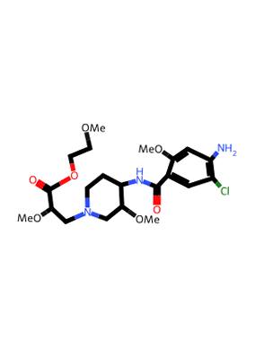 COCCOC(=O)C(CN1CCC(NC(=O)c2cc(Cl)c(N)cc2OC)C(OC)C1)OC